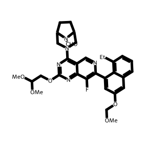 CCc1cccc2cc(OCOC)cc(-c3ncc4c(N5CC6CCC(C5)N6C=O)nc(OCC(OC)OC)nc4c3F)c12